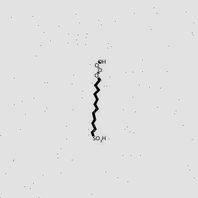 O=S(=O)(O)CCCCCCCCCCCCOOOO